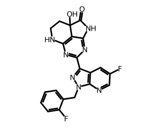 O=C1Nc2nc(-c3nn(Cc4ccccc4F)c4ncc(F)cc34)nc3c2C1(O)CCN3